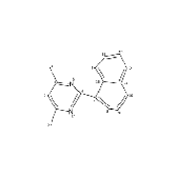 Cc1cc(C)nc(-c2cccc3ccccc23)n1